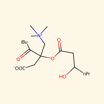 CCCC(O)CC(=O)OC(CC(=O)[O-])(C[N+](C)(C)C)C(=O)C(C)CC